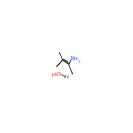 CC(C)=C(C)N.CCO